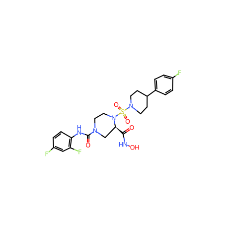 O=C(NO)[C@H]1CN(C(=O)Nc2ccc(F)cc2F)CCN1S(=O)(=O)N1CCC(c2ccc(F)cc2)CC1